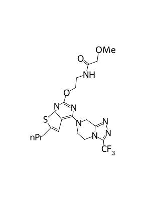 CCCc1cc2c(N3CCn4c(nnc4C(F)(F)F)C3)nc(OCCNC(=O)COC)nc2s1